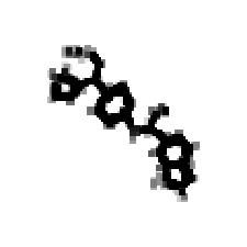 CC(C)[C@H](Oc1ccc(C(CC(=O)O)c2ccon2)cc1)c1ccc2cn[nH]c2c1